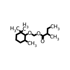 CCC(C)C(=O)OCOC1C(C)CCCC1(C)C